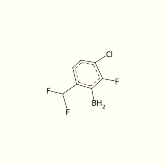 Bc1c(C(F)F)ccc(Cl)c1F